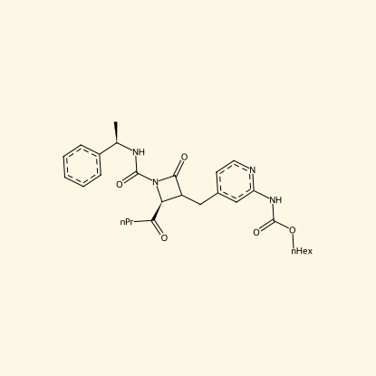 CCCCCCOC(=O)Nc1cc(CC2C(=O)N(C(=O)N[C@H](C)c3ccccc3)[C@@H]2C(=O)CCC)ccn1